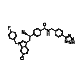 N#C/C(=C\c1cn(Cc2ccc(F)cc2)c2cc(Cl)ccc12)c1ccc(C(=O)NCc2ccc(-c3nn[nH]n3)cc2)cc1